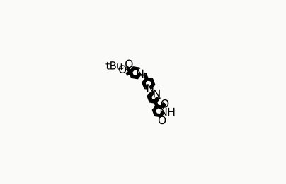 CC(C)(C)OC(=O)C1(C)CCN(CC2CCN(c3ccc(C4CCC(=O)NC4=O)cn3)CC2)CC1